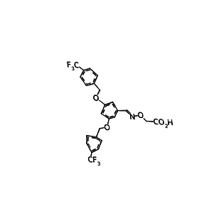 O=C(O)CON=Cc1cc(OCc2ccc(C(F)(F)F)cc2)cc(OCc2ccc(C(F)(F)F)cc2)c1